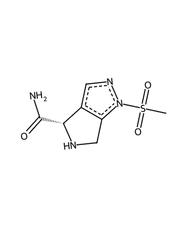 CS(=O)(=O)n1ncc2c1CN[C@@H]2C(N)=O